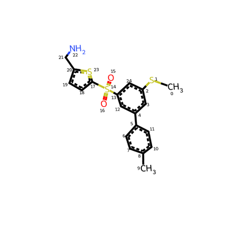 CSc1cc(-c2ccc(C)cc2)cc(S(=O)(=O)c2ccc(CN)s2)c1